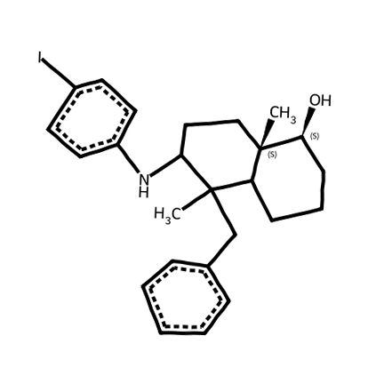 CC1(Cc2ccccc2)C(Nc2ccc(I)cc2)CC[C@@]2(C)C1CCC[C@@H]2O